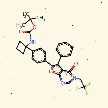 CC(C)(C)OC(=O)NC1(c2ccc(-c3oc4ncn(CC(F)(F)F)c(=O)c4c3-c3ccccc3)cc2)CCC1